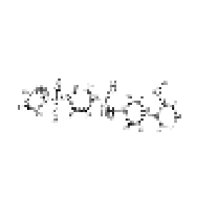 COc1ccccc1-c1ccc(NC(=O)c2ccc(S(=O)(=O)n3cncn3)cc2)cc1